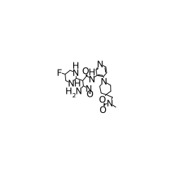 CN1CC2(CCN(c3ccncc3NC(=O)C(C(N)N=O)C3NCC(F)CN3)CC2)OC1=O